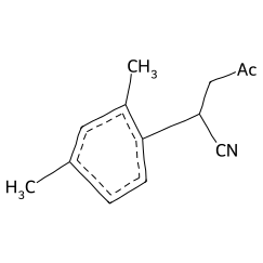 CC(=O)CC(C#N)c1ccc(C)cc1C